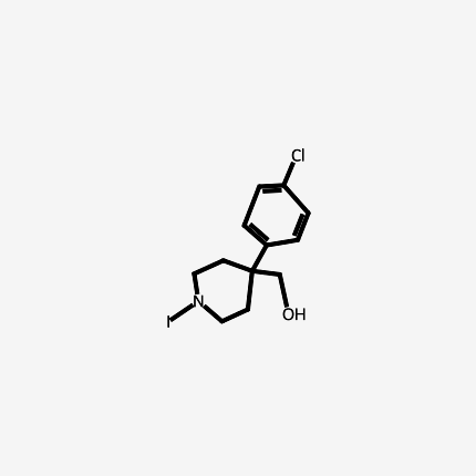 OCC1(c2ccc(Cl)cc2)CCN(I)CC1